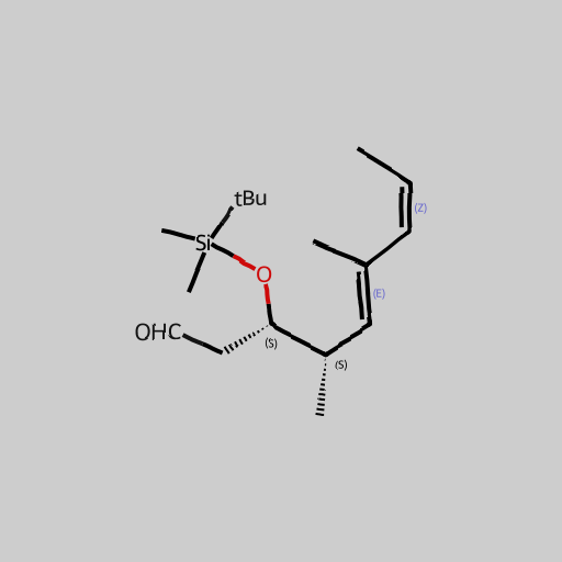 C/C=C\C(C)=C\[C@H](C)[C@H](CC=O)O[Si](C)(C)C(C)(C)C